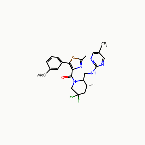 COc1cccc(-c2sc(C)nc2C(=O)N2CC(F)(F)C[C@@H](C)C2CNc2ncc(C(F)(F)F)cn2)c1